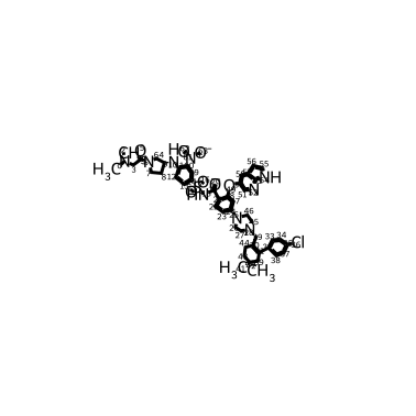 CN(C)CC(=O)N1CC[C@@H](Nc2ccc(S(=O)(=O)NC(=O)c3ccc(N4CCN(CC5=C(c6ccc(Cl)cc6)CC(C)(C)CC5)CC4)cc3Oc3cnc4[nH]ccc4c3)cc2[N+](=O)[O-])C1